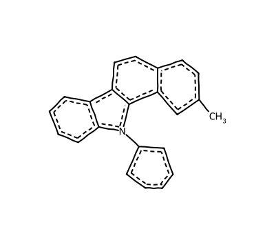 Cc1ccc2ccc3c4ccccc4n(-c4ccccc4)c3c2c1